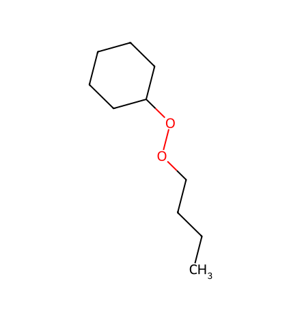 CCCCOOC1CCCCC1